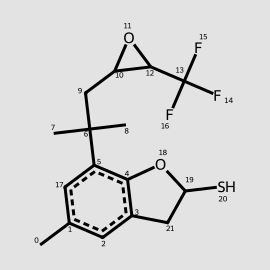 Cc1cc2c(c(C(C)(C)CC3OC3C(F)(F)F)c1)OC(S)C2